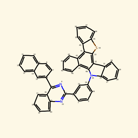 c1cc(-c2nc(-c3ccc4ccccc4c3)c3ccccc3n2)cc(-n2c3ccccc3c3c4sc5ccccc5c4c4ccccc4c32)c1